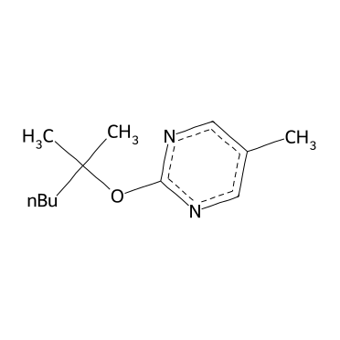 CCCCC(C)(C)Oc1ncc(C)cn1